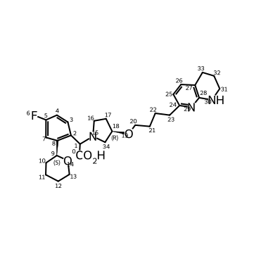 O=C(O)C(c1ccc(F)cc1[C@@H]1CCCCO1)N1CC[C@@H](OCCCCc2ccc3c(n2)NCCC3)C1